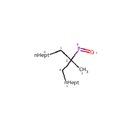 CCCCCCCCC(C)(CCCCCCCC)P=O